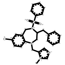 Cn1cncc1CN1CC(Cc2ccccc2)N(S(=O)(=O)c2ccccc2)Cc2cc(Cl)ccc21